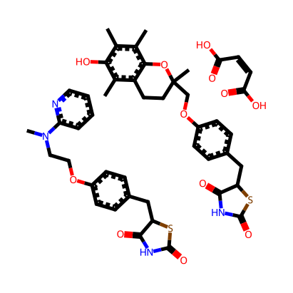 CN(CCOc1ccc(CC2SC(=O)NC2=O)cc1)c1ccccn1.Cc1c(C)c2c(c(C)c1O)CCC(C)(COc1ccc(CC3SC(=O)NC3=O)cc1)O2.O=C(O)/C=C\C(=O)O